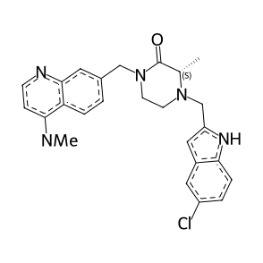 CNc1ccnc2cc(CN3CCN(Cc4cc5cc(Cl)ccc5[nH]4)[C@@H](C)C3=O)ccc12